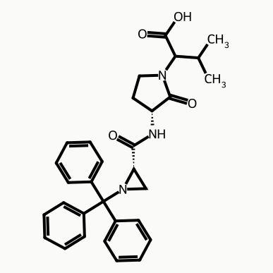 CC(C)C(C(=O)O)N1CC[C@@H](NC(=O)[C@@H]2CN2C(c2ccccc2)(c2ccccc2)c2ccccc2)C1=O